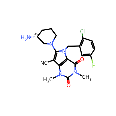 Cn1c(=O)c2c(c(C#N)c(N3CCC[C@@H](N)C3)n2Cc2cc(F)ccc2Cl)n(C)c1=O